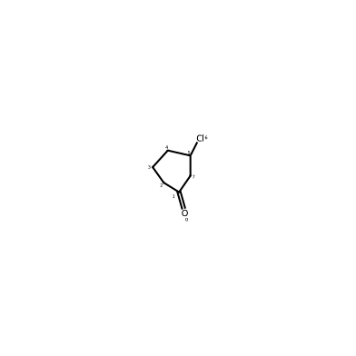 O=C1CCCC(Cl)C1